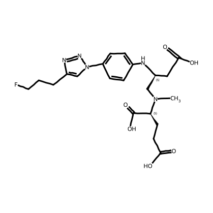 CN(C[C@H](CC(=O)O)Nc1ccc(-n2cc(CCCF)nn2)cc1)[C@@H](CCC(=O)O)C(=O)O